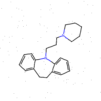 c1ccc2c(c1)CCc1ccccc1N2CCCN1CCCCC1